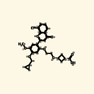 COc1cc(-c2cc(=O)c3cccc(Cl)c3o2)c(OCCO[C@H]2C[C@@H](C(=O)O)C2)cc1OCC1CC1